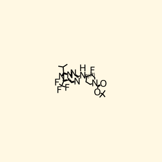 CC(C)c1nc(C(F)(F)F)c2cnc(N[C@@H]3CCN(C(=O)OC(C)(C)C)C[C@H]3F)nn12